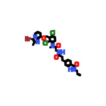 C=CCNC(=O)c1ccc(C=CC(=O)NCC(=O)N(C)c2ccc(Cl)c(COc3cccn4c(Br)c(C)nc34)c2Cl)cc1